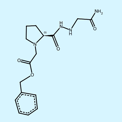 NC(=O)CNNC(=O)[C@@H]1CCCN1CC(=O)OCc1ccccc1